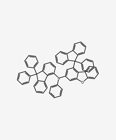 c1ccc(N(c2cc(C3(c4ccccc4)c4ccccc4-c4ccccc43)c3c(c2)oc2ccccc23)c2cccc3c2-c2ccccc2C3(c2ccccc2)c2ccccc2)cc1